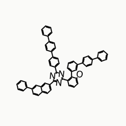 c1ccc(-c2ccc(-c3ccc(-c4nc(-c5ccc6ccc(-c7ccccc7)cc6c5)nc(-c5cccc6oc7c(-c8ccc(-c9ccccc9)cc8)cccc7c56)n4)cc3)cc2)cc1